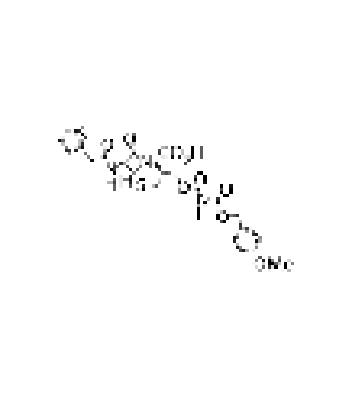 COc1ccc(COC(=O)NC(=O)OCC2=C(C(=O)O)N3C(=O)C(NC(=O)Cc4cccs4)[C@@H]3SC2)cc1